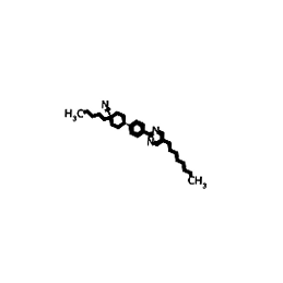 CCCCCCCCc1cnc(-c2ccc([C@H]3CC[C@@](C#N)(CCCCC)CC3)cc2)nc1